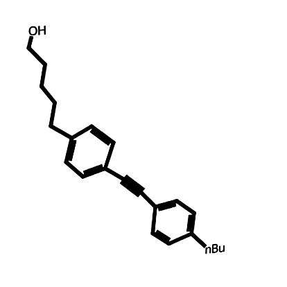 CCCCc1ccc(C#Cc2ccc(CCCCCO)cc2)cc1